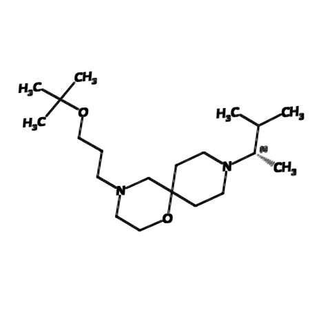 CC(C)[C@H](C)N1CCC2(CC1)CN(CCCOC(C)(C)C)CCO2